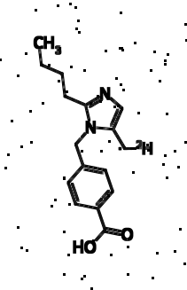 [2H][CH]c1cnc(CCCC)n1Cc1ccc(C(=O)O)cc1